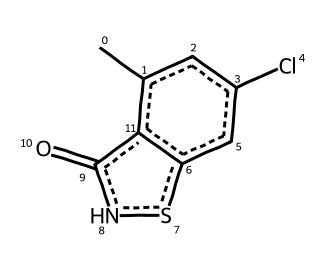 Cc1cc(Cl)cc2s[nH]c(=O)c12